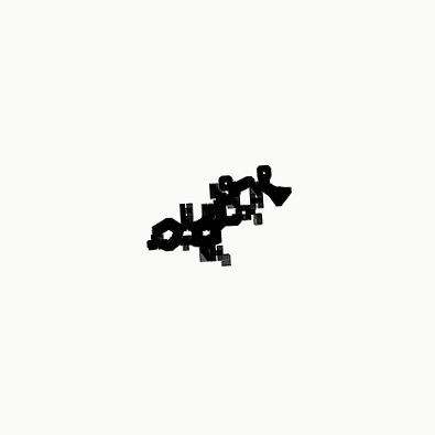 CN1CC[C@@H](Nc2cc(N)cc3c(CC(F)(F)F)n(-c4noc(CNC(=O)C5CC5)n4)nc23)[C@@H](F)C1